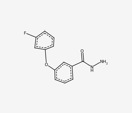 NNC(=O)c1cccc(Oc2cc[c]c(F)c2)c1